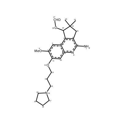 COc1cc2c3c(c(N)nc2cc1OCCCN1CCCC1)CC(C)(C)C3OC=O